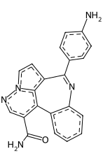 NC(=O)c1cnn2ccc3c2c1-c1ccccc1N=C3c1ccc(N)cc1